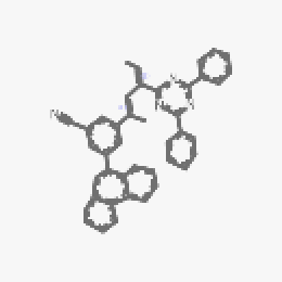 C/C=C(\C=C(/C)c1cc(C#N)cc(-c2cc3ccccc3c3ccccc23)c1)c1nc(-c2ccccc2)nc(-c2ccccc2)n1